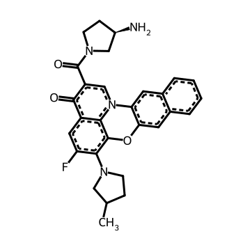 CC1CCN(c2c(F)cc3c(=O)c(C(=O)N4CC[C@@H](N)C4)cn4c3c2Oc2cc3ccccc3cc2-4)C1